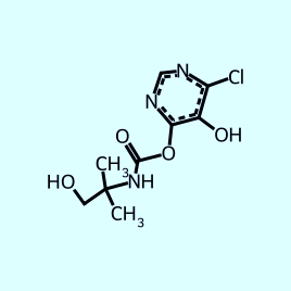 CC(C)(CO)NC(=O)Oc1ncnc(Cl)c1O